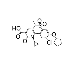 CC1c2cc(C(=O)O)c(=O)n(C3CC3)c2-c2cc(Cl)c(OC3CCCC3)cc2S1(=O)=O